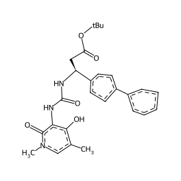 Cc1cn(C)c(=O)c(NC(=O)N[C@@H](CC(=O)OC(C)(C)C)c2ccc(-c3ccccc3)cc2)c1O